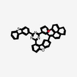 C1=Cc2ccc3c(-c4ccc5oc6cccc(-c7nc(-c8ccccc8)nc(-c8ccc9sc%10ccccc%10c9c8)n7)c6c5c4)ccc4c3c2C(=CC4)C1